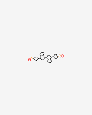 CP(C)(=O)c1ccc(-c2ccc(-c3ccc(-c4ccc(P(C)(C)=O)cc4)c4ccccc34)c3ccccc23)cc1